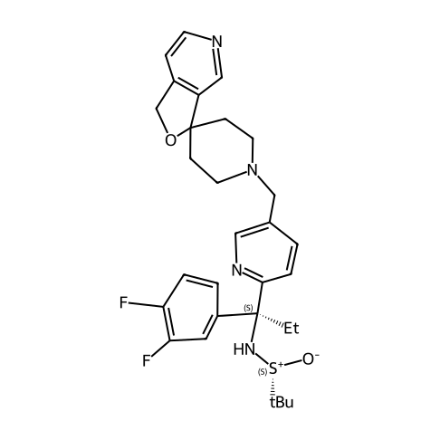 CC[C@](N[S@+]([O-])C(C)(C)C)(c1ccc(F)c(F)c1)c1ccc(CN2CCC3(CC2)OCc2ccncc23)cn1